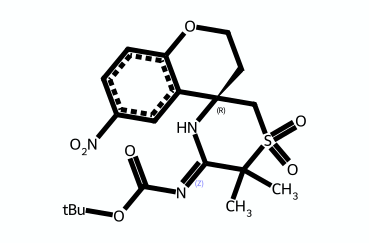 CC(C)(C)OC(=O)/N=C1\N[C@@]2(CCOc3ccc([N+](=O)[O-])cc32)CS(=O)(=O)C1(C)C